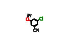 CC(C)Oc1cc(Cl)cc(C#N)c1